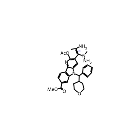 COC(=O)c1ccc2c3nc(OC(C)=O)c(/C(=C(\C)N)N(C)N)cc3n(C(c3ccccc3)C3CCOCC3)c2c1